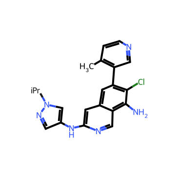 Cc1ccncc1-c1cc2cc(Nc3cnn(C(C)C)c3)ncc2c(N)c1Cl